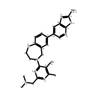 Cc1nc(CN(C)C)nc(N2CCOc3ccc(-c4cnc5sc(N)nc5c4)cc3C2)c1C(C)C